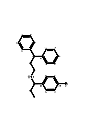 CCC(NCCC(c1ccccc1)c1ccccc1)c1ccc(Br)cc1